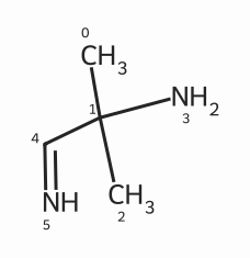 CC(C)(N)C=N